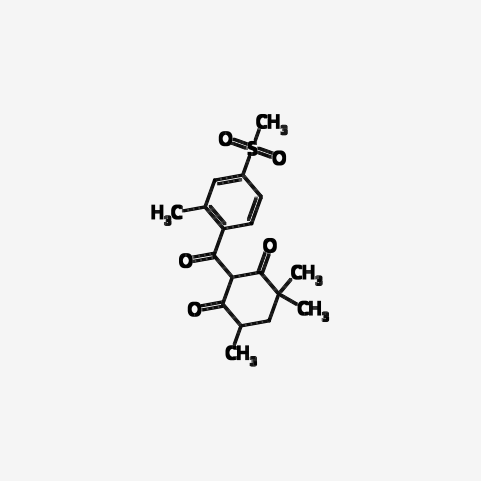 Cc1cc(S(C)(=O)=O)ccc1C(=O)C1C(=O)C(C)CC(C)(C)C1=O